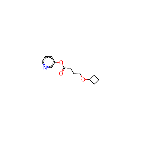 O=C(CCCOC1CCC1)Oc1cccnc1